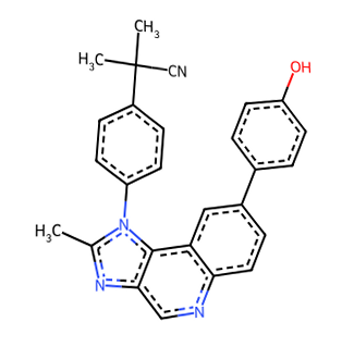 Cc1nc2cnc3ccc(-c4ccc(O)cc4)cc3c2n1-c1ccc(C(C)(C)C#N)cc1